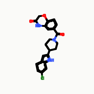 O=C1COc2ccc(C(=O)N3CCC(c4cc5ccc(Cl)cc5[nH]4)CC3)cc2N1